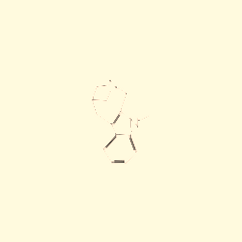 Cn1c2c(c3ccccc31)CC1CN(C2)C1